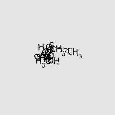 CCCCCCCCCCCCC(C)(C)C(=O)OCOC(=O)C1=C(S[C@H]2CC[S@@+]([O-])C2)S[C@@H]2[C@@H]([C@@H](C)O)C(=O)N12